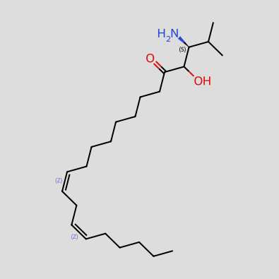 CCCCC/C=C\C/C=C\CCCCCCCC(=O)C(O)[C@@H](N)C(C)C